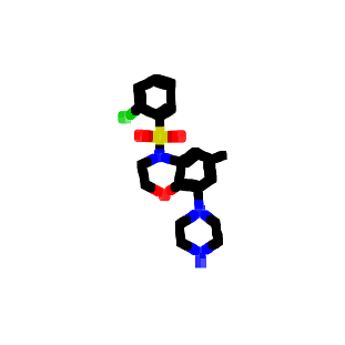 Cc1cc(N2CCNCC2)c2c(c1)N(S(=O)(=O)c1ccccc1Cl)CCO2